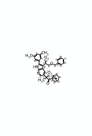 Cc1cc(C)cc(-c2[nH]c3ncc(C(C)(C)C(=O)N4CC5CCC4CC5)cc3c2C(C)COCc2ccccc2)c1